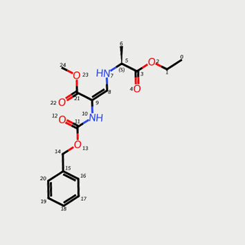 CCOC(=O)[C@H](C)NC=C(NC(=O)OCc1ccccc1)C(=O)OC